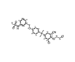 CC(C)(c1ccc(OCc2cncc(NS(C)(=O)=O)n2)cc1)c1cc(Cl)c(OCCCl)c(C#N)c1